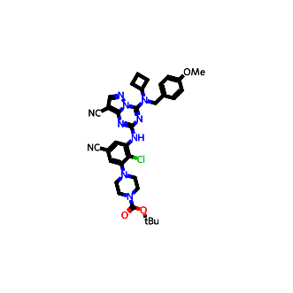 COc1ccc(CN(c2nc(Nc3cc(C#N)cc(N4CCN(C(=O)OC(C)(C)C)CC4)c3Cl)nc3c(C#N)cnn23)C2CCC2)cc1